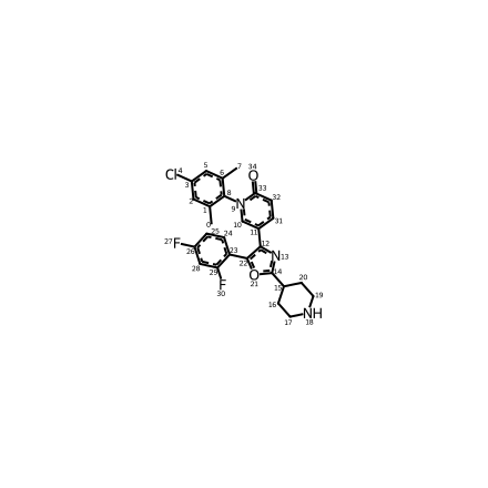 Cc1cc(Cl)cc(C)c1-n1cc(-c2nc(C3CCNCC3)oc2-c2ccc(F)cc2F)ccc1=O